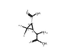 NC(C(=O)O)[C@@H]1[C@@H](C(=O)O)C1(F)F